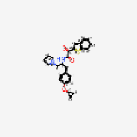 O=C(NC(Cc1ccc(OC2CC2)cc1)CN1CCCC1)C(=O)c1cc2ccccc2s1